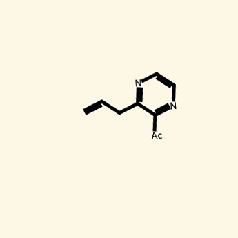 C=CCc1nccnc1C(C)=O